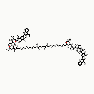 CCc1c2c(nc3ccccc13)-c1cc3c(c(=O)n1C2)COC(=O)[C@@]3(CC)OC(=O)[C@@H](NC(=O)[C@@H]1CCCN1C(=O)C(CC(=O)O)NC(=O)CCOCCOCCOCCNC(=O)CCCC(=O)NCCOCCOCCOCCC(=O)NC(CC(=O)O)C(=O)N1CCC[C@H]1C(=O)N[C@H](C(=O)O[C@]1(CC)C(=O)OCc2c1cc1n(c2=O)Cc2c-1nc1ccccc1c2CC)C(C)C)C(C)C